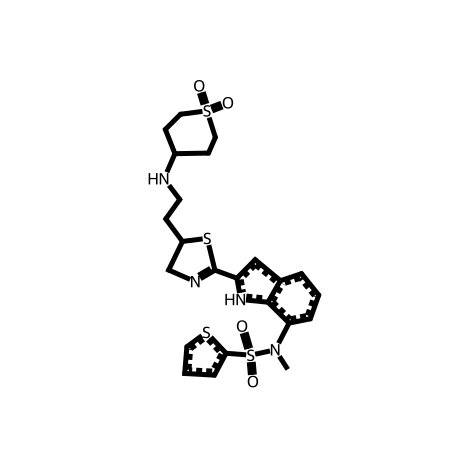 CN(c1cccc2cc(C3=NCC(CCNC4CCS(=O)(=O)CC4)S3)[nH]c12)S(=O)(=O)c1cccs1